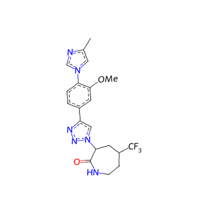 COc1cc(-c2cn(C3CC(C(F)(F)F)CCNC3=O)nn2)ccc1-n1cnc(C)c1